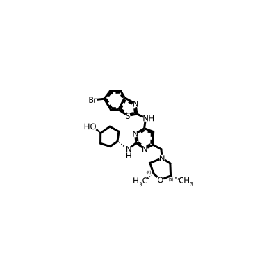 C[C@@H]1CN(Cc2cc(Nc3nc4ccc(Br)cc4s3)nc(N[C@H]3CC[C@H](O)CC3)n2)C[C@H](C)O1